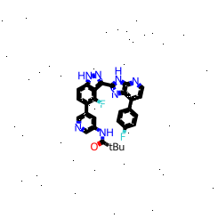 CC(C)(C)C(=O)Nc1cncc(-c2ccc3[nH]nc(-c4nc5c(-c6ccc(F)cc6)ccnc5[nH]4)c3c2F)c1